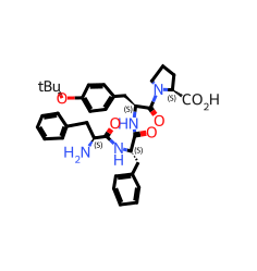 CC(C)(C)Oc1ccc(C[C@H](NC(=O)[C@H](Cc2ccccc2)NC(=O)[C@@H](N)Cc2ccccc2)C(=O)N2CCC[C@H]2C(=O)O)cc1